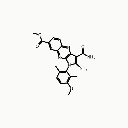 COC(=O)c1ccc2nc3c(C(N)=O)c(N)n(-c4c(C)ccc(OC)c4C)c3nc2c1